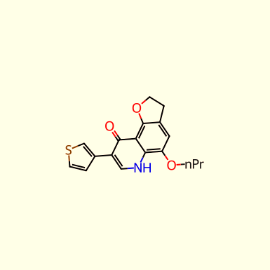 CCCOc1cc2c(c3c(=O)c(-c4ccsc4)c[nH]c13)OCC2